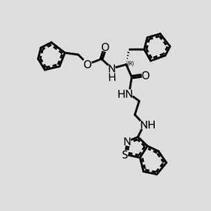 O=C(N[C@H](Cc1ccccc1)C(=O)NCCNc1nsc2ccccc12)OCc1ccccc1